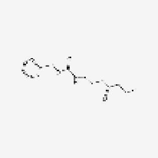 CCCC(=O)CCCNC(=O)OCc1ccccc1